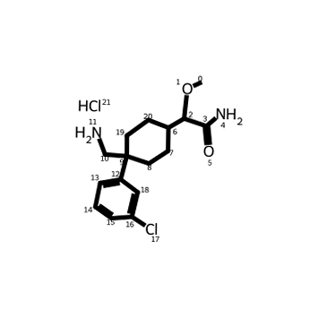 COC(C(N)=O)C1CCC(CN)(c2cccc(Cl)c2)CC1.Cl